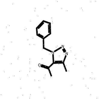 CC(=O)c1c(C)nnn1Cc1ccccc1